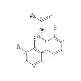 Clc1ccccc1Cl.Clc1ccccc1Cl.O=C(O)O